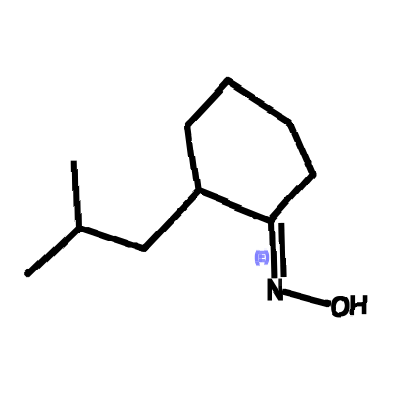 CC(C)CC1CCCC/C1=N\O